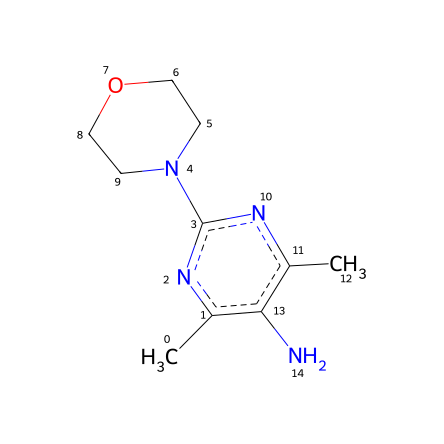 Cc1nc(N2CCOCC2)nc(C)c1N